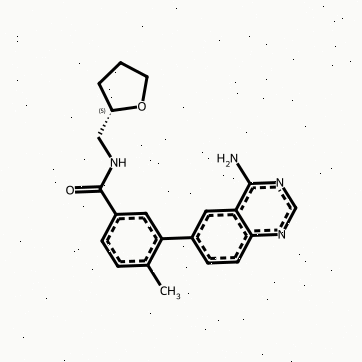 Cc1ccc(C(=O)NC[C@@H]2CCCO2)cc1-c1ccc2ncnc(N)c2c1